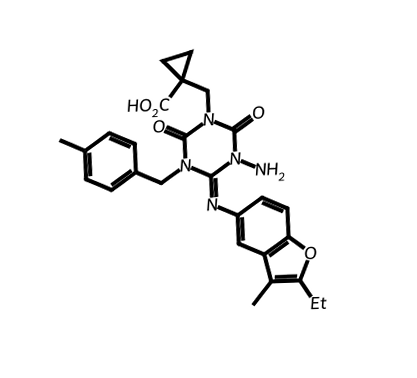 CCc1oc2ccc(/N=c3\n(N)c(=O)n(CC4(C(=O)O)CC4)c(=O)n3Cc3ccc(C)cc3)cc2c1C